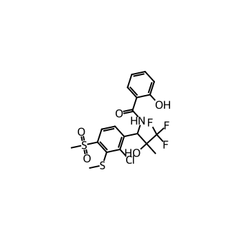 CSc1c(S(C)(=O)=O)ccc(C(NC(=O)c2ccccc2O)C(C)(O)C(F)(F)F)c1Cl